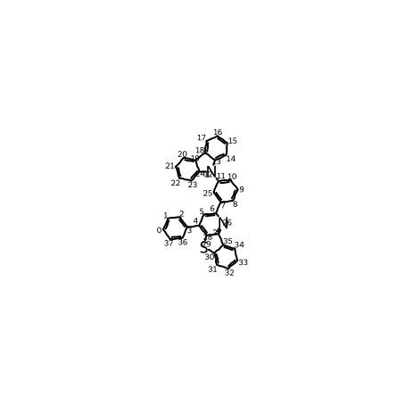 c1ccc(-c2cc(-c3cccc(-n4c5ccccc5c5ccccc54)c3)nc3c2sc2ccccc23)cc1